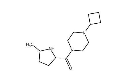 CC1CC[C@@H](C(=O)N2CCN(C3CCC3)CC2)N1